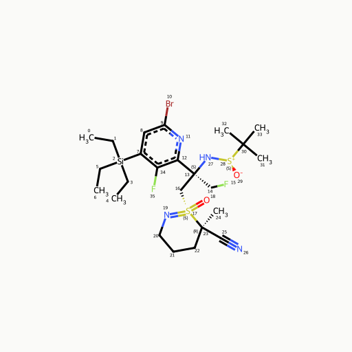 CC[Si](CC)(CC)c1cc(Br)nc([C@](CF)(C[S@@]2(=O)=NCCC[C@]2(C)C#N)N[S@+]([O-])C(C)(C)C)c1F